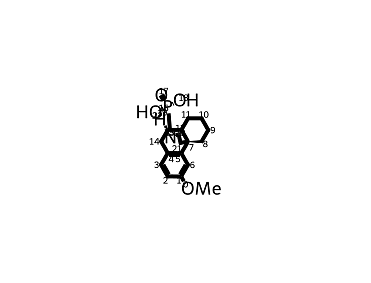 COc1ccc2c(c1)[C@@]13CCCCC1[C@@H](C2)N(P(=O)(O)O)CC3